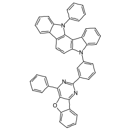 c1ccc(-c2nc(-c3cccc(-n4c5ccccc5c5c4ccc4c6ccccc6n(-c6ccccc6)c45)c3)nc3c2oc2ccccc23)cc1